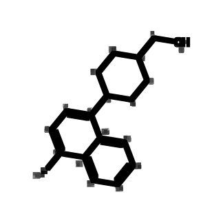 OCC1CCC(c2ccc(F)c3ccccc23)CC1